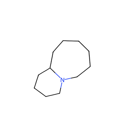 C1CCCN2CCCCC2CC1